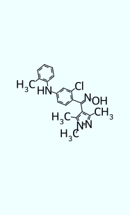 Cc1ccccc1Nc1ccc(C(=NO)c2c(C)nn(C)c2C)c(Cl)c1